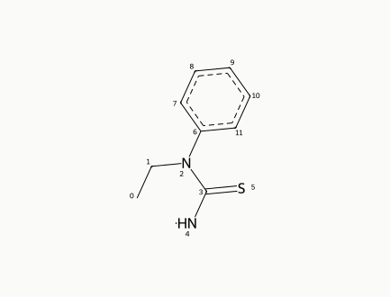 CCN(C([NH])=S)c1ccccc1